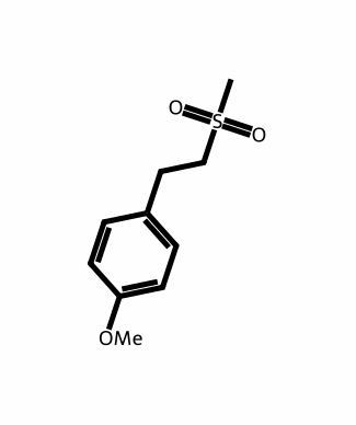 COc1ccc(CCS(C)(=O)=O)cc1